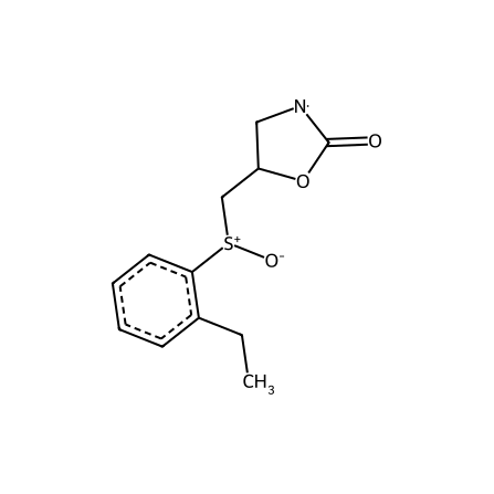 CCc1ccccc1[S+]([O-])CC1C[N]C(=O)O1